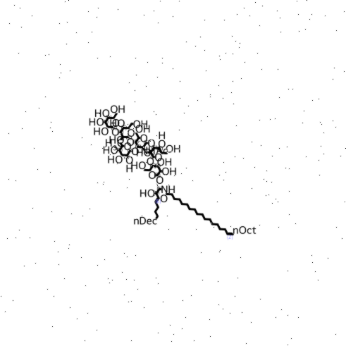 CCCCCCCC/C=C\CCCCCCCCCCCCCCCC(=O)N[C@@H](CO[C@@H]1OC(CO)[C@@H](O[C@@H]2OC(CO)[C@H](O)[C@H](O[C@@H]3OC(CO)[C@@H](O[C@@H]4OC(CO)[C@H](O)[C@H](O[C@H]5OC(CO)[C@H](O)[C@H](O)C5O)C4O)[C@H](O[C@H]4OC(C)[C@@H](O)C(O)[C@@H]4O)C3NC(C)=O)C2O)[C@H](O)C1O)[C@H](O)/C=C/CCCCCCCCCCCCC